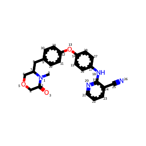 CN1C(=O)COCC1Cc1ccc(Oc2ccc(Nc3ncccc3C#N)cc2)cc1